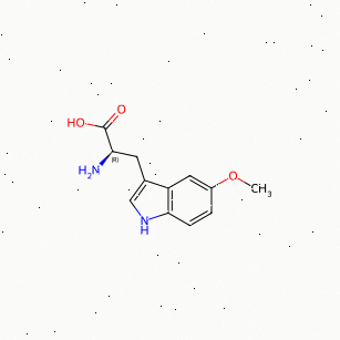 COc1ccc2[nH]cc(C[C@@H](N)C(=O)O)c2c1